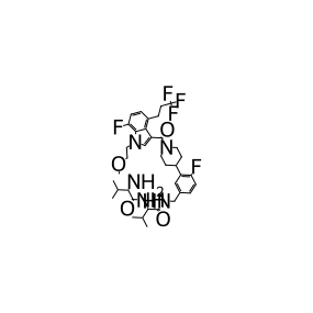 COCCn1cc(C(=O)N2CCC(c3cc(CNC(=O)[C@@H](NC(=O)C(N)C(C)C)C(C)C)ccc3F)CC2)c2c(CCC(F)(F)F)ccc(F)c21